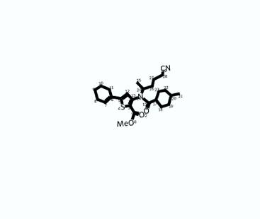 COC(=O)c1sc(C2=CCCCC2)cc1N(C(=O)C1CCC(C)CC1)C(C)CCCC#N